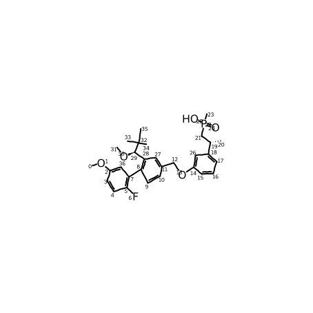 COc1ccc(F)c(-c2ccc(COc3cccc([C@@H](C)CP(C)(=O)O)c3)cc2[C@@H](OC)C(C)(C)C)c1